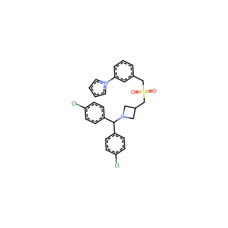 O=S(=O)(Cc1cccc(-n2cccc2)c1)CC1CN(C(c2ccc(Cl)cc2)c2ccc(Cl)cc2)C1